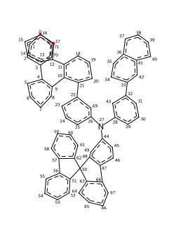 c1ccc(-c2ccccc2-c2c(-c3ccccc3)cccc2-c2cccc(N(c3cccc(-c4ccc5ccccc5c4)c3)c3ccc4c(c3)C3(c5ccccc5-c5ccccc53)c3ccccc3-4)c2)cc1